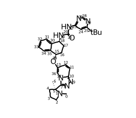 CN1CCC[C@@]1(C)c1nnc2ccc(O[C@@H]3CC[C@H](NC(=O)Nc4cc(C(C)(C)C)ncn4)c4ccccc43)cn12